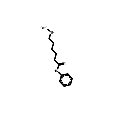 O=CNCCCCCC(=O)Nc1ccccc1